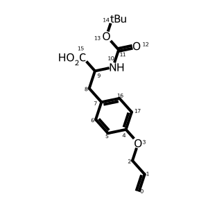 C=CCOc1ccc(CC(NC(=O)OC(C)(C)C)C(=O)O)cc1